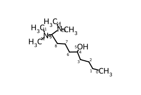 CCCCC(O)CCCC(N(C)C)N(C)C